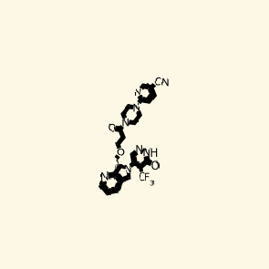 N#Cc1ccc(N2CCN(C(=O)CCOC[C@H]3c4ncccc4CN3c3cn[nH]c(=O)c3C(F)(F)F)CC2)nc1